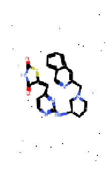 O=C1NC(=O)C(=Cc2ccnc(NC3CCCN(Cc4cc5ccccc5cn4)C3)n2)S1